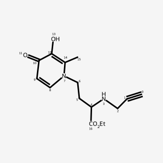 C#CCNC(CCn1ccc(=O)c(O)c1C)C(=O)OCC